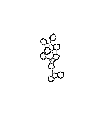 c1ccc(-n2c3ccc(-n4c5ccccc5c5ccccc54)cc3c3ccc4c(c32)Cc2c-4cccc2[Si](c2ccccc2)(c2ccccc2)c2ccccc2)cc1